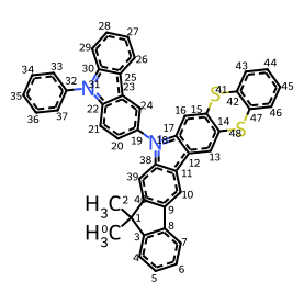 CC1(C)c2ccccc2-c2cc3c4cc5c(cc4n(-c4ccc6c(c4)c4ccccc4n6-c4ccccc4)c3cc21)Sc1ccccc1S5